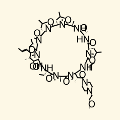 C/C=C/C[C@@H](C)[C@@H](O)[C@H]1C(=O)N[C@@H](CC)C(=O)N(C)[C@H](C)C(=O)N(C)C([C@@H](C)CN2CCN(CCOC)CC2)C(=O)N[C@@H](C(C)C)C(=O)N(C)[C@@H](CC(C)C)C(=O)N[C@@H](C)C(=O)N[C@H](C)C(=O)N(C)[C@@H](CC(C)C)C(=O)N(C)[C@@H](CC(C)C)C(=O)N(C)[C@@H](C(C)C)C(=O)N1C